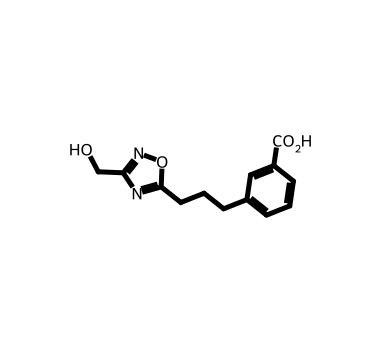 O=C(O)c1cccc(CCCc2nc(CO)no2)c1